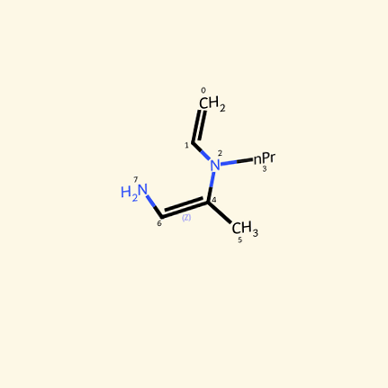 C=CN(CCC)/C(C)=C\N